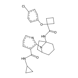 O=C(NC1CC1)c1cccnc1N1C2CCCC1(NC(=O)C1(Oc3ccc(Cl)cc3)CCC1)CC2